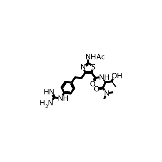 CC(=O)Nc1nc(CCc2ccc(NC(=N)N)cc2)c(C(=O)N[C@H](C(=O)N(C)C)[C@H](C)O)s1